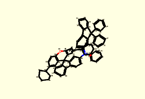 c1ccc(N(c2ccc3c(c2)C(c2ccccc2)(c2ccccc2)c2ccccc2-3)c2ccc3c(c2)C2(c4cc(C5CCCCC5)ccc4Oc4ccc(C5CCCCC5)cc42)c2ccccc2-3)cc1